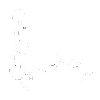 Bc1cnc(Nc2cccc(NC(=O)N3CCCC3)c2)nc1NCCCNC(=O)c1ccc(C(C)=O)s1